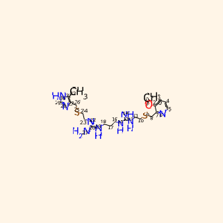 COc1cccnc1CSCCNC(=N)NCCCNC(N)=NCCSCc1nc[nH]c1C